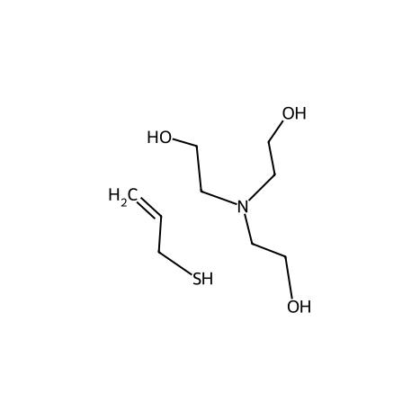 C=CCS.OCCN(CCO)CCO